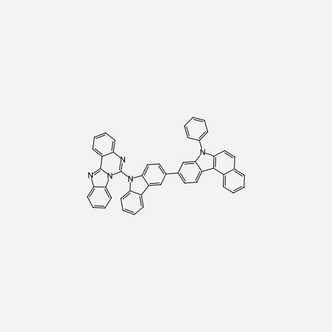 c1ccc(-n2c3cc(-c4ccc5c(c4)c4ccccc4n5-c4nc5ccccc5c5nc6ccccc6n45)ccc3c3c4ccccc4ccc32)cc1